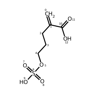 C=C(CCCOS(=O)(=O)O)C(=O)O